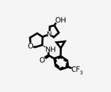 O=C(N[C@@H]1COCCC1N1CCC(O)C1)c1ccc(C(F)(F)F)cc1C1CC1